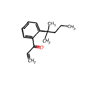 C=CC(=O)c1ccccc1C(C)(C)CCC